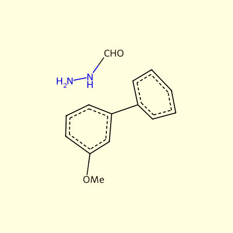 COc1cccc(-c2ccccc2)c1.NNC=O